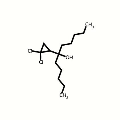 CCCCCC(O)(CCCCC)C1CC1(Cl)Cl